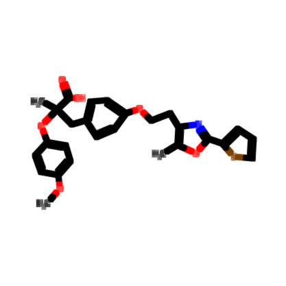 COc1ccc(OC(C)(Cc2ccc(OCCc3nc(-c4cccs4)oc3C)cc2)C(=O)O)cc1